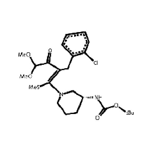 COC(OC)C(=O)/C(Cc1ccccc1Cl)=C(\SC)N1CCC[C@@H](NC(=O)OC(C)(C)C)C1